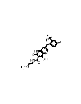 COCCNC(=O)c1c(O)c2ncc(Cc3ccc(F)cc3C(F)(F)F)cc2[nH]c1=O